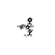 NC(=O)c1c[se]c([C@@H]2O[C@H](COP(=O)(O)O)[C@@H](OC(=O)c3ccccc3)[C@H]2O)n1